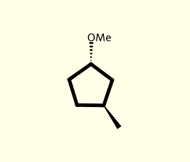 CO[C@H]1CC[C@H](C)C1